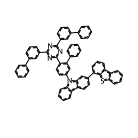 c1ccc(-c2cccc(-c3nc(-c4cccc(-c5ccccc5)c4)nc(-c4ccc(-n5c6ccccc6c6ccc(-c7cccc8c7sc7ccccc78)cc65)cc4-c4ccccc4)n3)c2)cc1